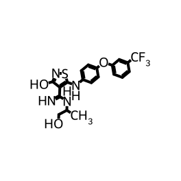 CC(CO)NC(=N)c1c(O)nsc1Nc1ccc(Oc2cccc(C(F)(F)F)c2)cc1